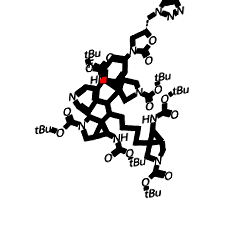 CC(C)(C)OC(=O)NC1C2CN(C(=O)OC(C)(C)C)CC21CCCCC(C(c1ccncc1-c1ccc(N2C[C@H](Cn3ccnn3)OC2=O)cc1F)C12CN(C(=O)OC(C)(C)C)CC1C2NC(=O)OC(C)(C)C)C12CN(C(=O)OC(C)(C)C)CC1C2NC(=O)OC(C)(C)C